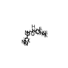 O=C(Cn1cc(-c2ccn3ncnc3c2)cn1)Nc1ccc(N2CC(F)(F)C2)c(F)c1